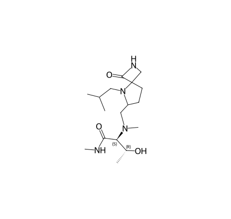 CNC(=O)[C@H]([C@@H](C)O)N(C)CC1CCC2(CNC2=O)N1CC(C)C